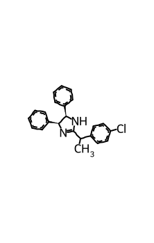 CC(C1=N[C@@H](c2ccccc2)[C@@H](c2ccccc2)N1)c1ccc(Cl)cc1